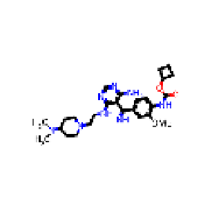 COc1cc(C(=N)c2c(N)ncnc2NCCN2CCC(N(C)C)CC2)ccc1NC(=O)OC1CCC1